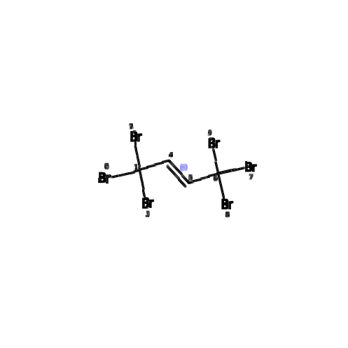 BrC(Br)(Br)/C=C/C(Br)(Br)Br